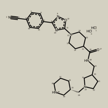 Cl.Cl.N#Cc1ccc(-c2noc(N3CCC(C(=O)NCC4CCN(C[C@H]5CCCNC5)C4)CC3)n2)cc1